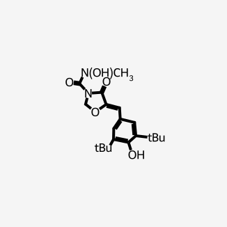 CN(O)C(=O)N1CO/C(=C\c2cc(C(C)(C)C)c(O)c(C(C)(C)C)c2)C1=O